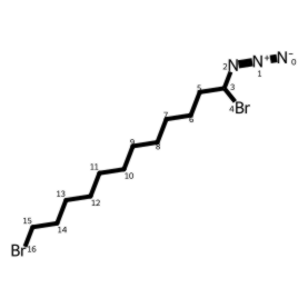 [N-]=[N+]=NC(Br)CCCCCCCCCCCBr